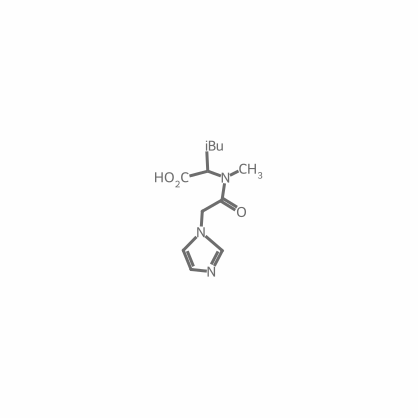 CCC(C)C(C(=O)O)N(C)C(=O)Cn1ccnc1